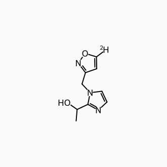 [2H]c1cc(Cn2ccnc2C(C)O)no1